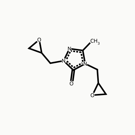 Cc1nn(CC2CO2)c(=O)n1CC1CO1